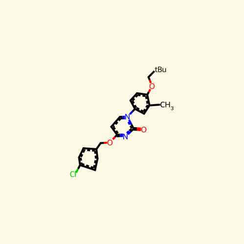 Cc1cc(-n2ccc(OCc3ccc(Cl)cc3)nc2=O)ccc1OCC(C)(C)C